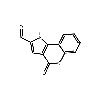 O=Cc1cc2c(=O)oc3ccccc3c2[nH]1